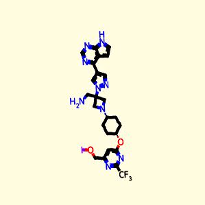 NCC1(n2cc(-c3ncnc4[nH]ccc34)cn2)CN([C@H]2CC[C@@H](Oc3cc(COI)nc(C(F)(F)F)n3)CC2)C1